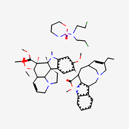 CCC1=CC2CN(C1)Cc1c([nH]c3ccccc13)[C@@](C(=O)OC)(c1cc3c(cc1OC)N(C)[C@H]1[C@@](O)(C(=O)OC)[C@H](OC(C)=O)[C@]4(CC)C=CCN5CC[C@]31[C@@H]54)C2.O=P1(N(CCCl)CCCl)NCCCO1